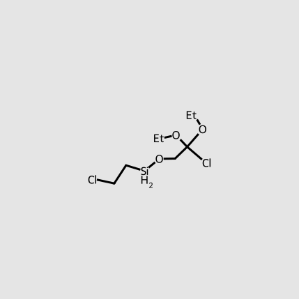 CCOC(Cl)(CO[SiH2]CCCl)OCC